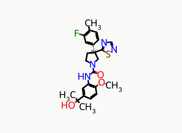 COc1ccc(C(C)(C)O)cc1NC(=O)N1CC[C@@](c2ccc(C)c(F)c2)(c2ncns2)C1